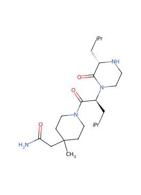 CC(C)C[C@@H]1NCCN([C@@H](CC(C)C)C(=O)N2CCC(C)(CC(N)=O)CC2)C1=O